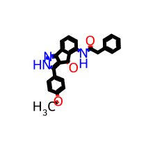 COc1ccc(-c2[nH]nc3c2C(=O)c2c(NC(=O)Cc4ccccc4)cccc2-3)cc1